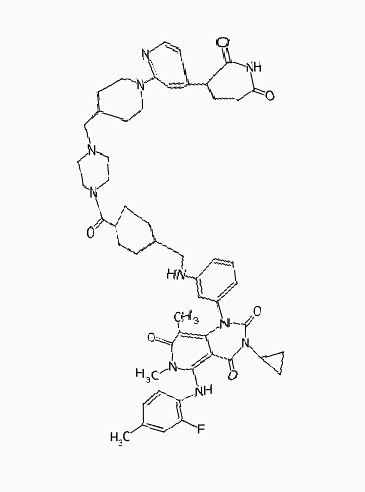 Cc1ccc(Nc2c3c(=O)n(C4CC4)c(=O)n(-c4cccc(NCC5CCC(C(=O)N6CCN(CC7CCN(c8cc(C9CCC(=O)NC9=O)ccn8)CC7)CC6)CC5)c4)c3c(C)c(=O)n2C)c(F)c1